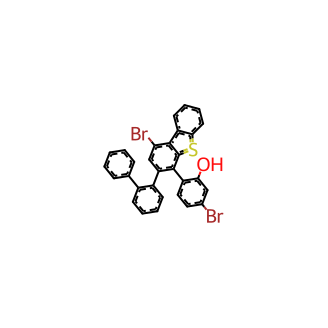 Oc1cc(Br)ccc1-c1c(-c2ccccc2-c2ccccc2)cc(Br)c2c1sc1ccccc12